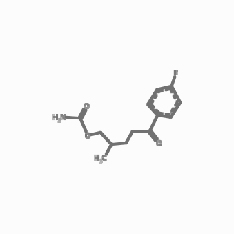 CC(CCC(=O)c1ccc(F)cc1)COC(N)=O